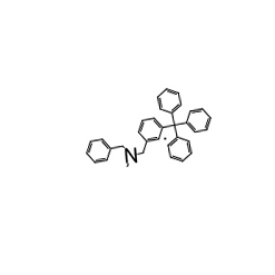 CN(Cc1[c]c(C(c2ccccc2)(c2ccccc2)c2ccccc2)ccc1)Cc1ccccc1